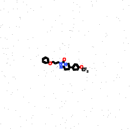 O=c1n(CCCOc2ccccc2)nc2ccc(-c3ccc(OC(F)(F)F)cc3)cn12